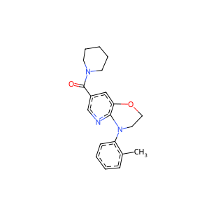 Cc1ccccc1N1CCOc2cc(C(=O)N3CCCCC3)cnc21